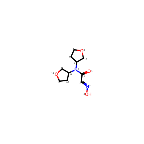 O=C(C=NO)N(C1CCOC1)C1CCOC1